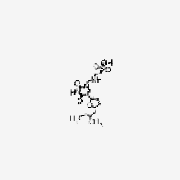 CCC(C)CC1CC[C@H](c2cn(CNCCS(=O)(=O)O)c(=O)[nH]c2=O)O1